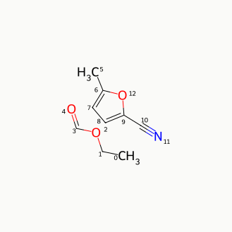 CCOC=O.Cc1ccc(C#N)o1